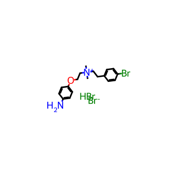 Br.C[N+](C)(CCOc1ccc(N)cc1)CCc1ccc(Br)cc1.[Br-]